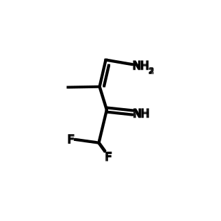 C/C(=C/N)C(=N)C(F)F